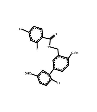 COc1ccc(-c2cc(C=O)ccc2Cl)cc1CNC(=O)c1ccc(Cl)cc1F